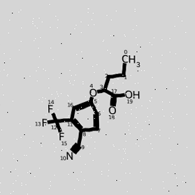 CCCC(Oc1ccc(C#N)c(C(F)(F)F)c1)C(=O)O